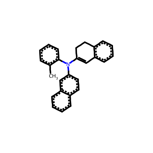 Cc1ccccc1N(C1=Cc2ccccc2CC1)c1ccc2ccccc2c1